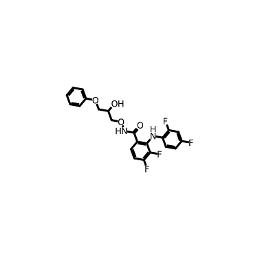 O=C(NOCC(O)COc1ccccc1)c1ccc(F)c(F)c1Nc1ccc(F)cc1F